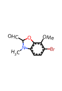 COc1c(Br)ccc2c1OC(C=O)N2C